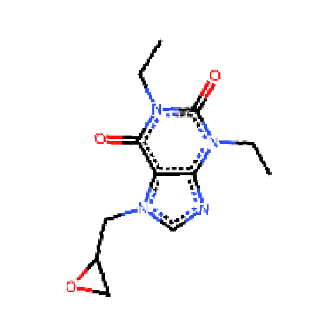 CCn1c(=O)c2c(ncn2CC2CO2)n(CC)c1=O